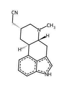 CN1C[C@@H](CC#N)C[C@@H]2c3cccc4[nH]cc(c34)C[C@H]21